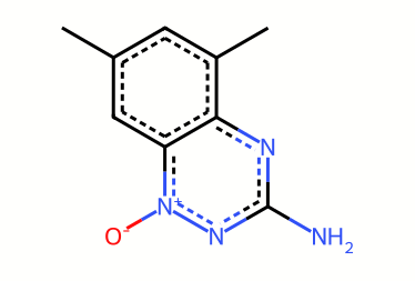 Cc1cc(C)c2nc(N)n[n+]([O-])c2c1